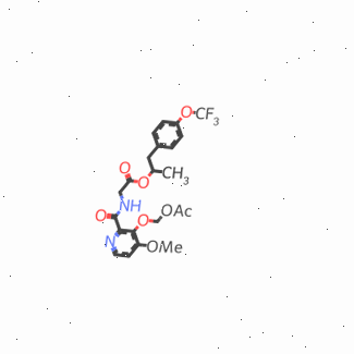 COc1ccnc(C(=O)NCC(=O)OC(C)Cc2ccc(OC(F)(F)F)cc2)c1OCOC(C)=O